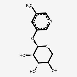 O[C@@H]1[C@@H](O)[C@@H](Oc2cncc(C(F)(F)F)c2)SC[C@H]1O